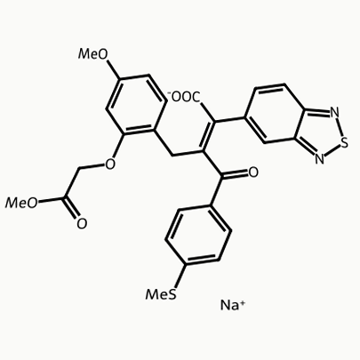 COC(=O)COc1cc(OC)ccc1CC(C(=O)c1ccc(SC)cc1)=C(C(=O)[O-])c1ccc2nsnc2c1.[Na+]